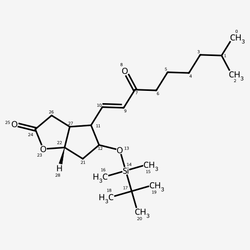 CC(C)CCCCC(=O)/C=C/C1C(O[Si](C)(C)C(C)(C)C)C[C@@H]2OC(=O)CC12